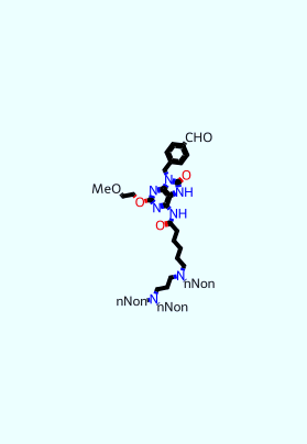 CCCCCCCCCN(CCCCCCCCC)CCCN(CCCCCCCCC)CCCCCC(=O)Nc1nc(OCCOC)nc2c1[nH]c(=O)n2Cc1ccc(C=O)cc1